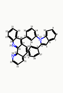 c1ccc(-c2cc3ccccc3n2-c2cccc(-c3c4ccccc4nc4c3ccc3cccnc34)c2)cc1